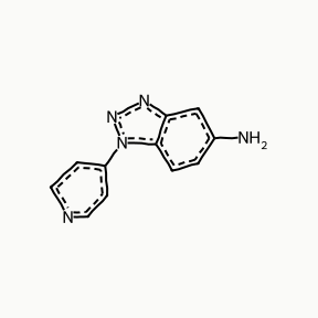 Nc1ccc2c(c1)nnn2-c1ccncc1